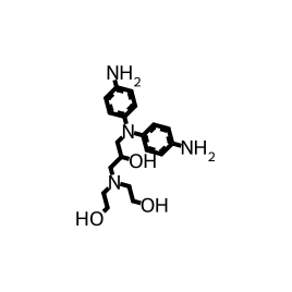 Nc1ccc(N(CC(O)CN(CCO)CCO)c2ccc(N)cc2)cc1